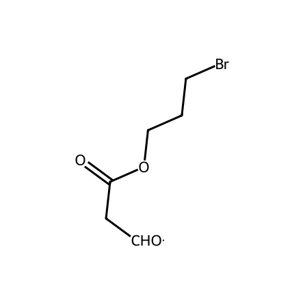 O=[C]CC(=O)OCCCBr